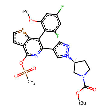 CC(C)Oc1cc(F)cc(F)c1-c1c(-c2cnn([C@H]3CCN(C(=O)OC(C)(C)C)C3)c2)nc(OS(=O)(=O)C(F)(F)F)c2ccsc12